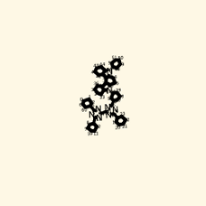 c1ccc(-c2nc(-c3ccccc3)nc(-c3nc(-c4ccccc4)nc(-c4cccc(-n5c6ccccc6c6c7c8ccccc8n(-c8ccccc8)c7ccc65)c4)n3)n2)cc1